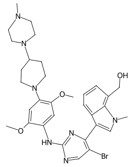 COc1cc(N2CCC(N3CCN(C)CC3)CC2)c(OC)cc1Nc1ncc(Br)c(-c2cn(C)c3c(CO)cccc23)n1